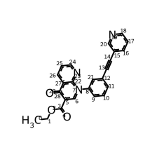 CCOC(=O)c1cn(-c2cccc(C#Cc3cccnc3)c2)c2ncccc2c1=O